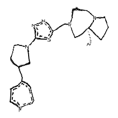 c1cc(C2CCN(c3nnc(N4CCN5CCC[C@H]5C4)s3)C2)ccn1